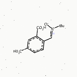 CC(C)(C)/[N+]([O-])=C/c1ccc(C(=O)O)cc1C(=O)O